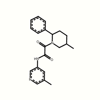 Cc1cncc(NC(=O)C(=O)N2CC(C)CCC2c2ccccc2)c1